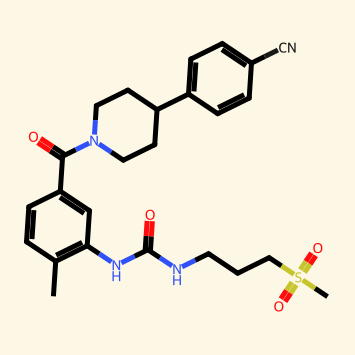 Cc1ccc(C(=O)N2CCC(c3ccc(C#N)cc3)CC2)cc1NC(=O)NCCCS(C)(=O)=O